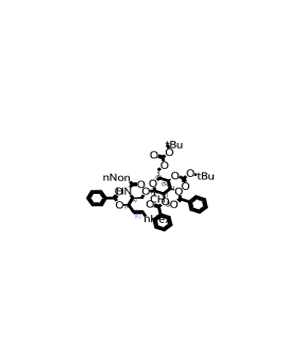 CCCCCC/C=C/[C@@H](OC(=O)c1ccccc1)[C@H](CO[C@@]1(C)O[C@H](COC(=O)OC(C)(C)C)[C@H](OC(=O)OC(C)(C)C)[C@H](OC(=O)c2ccccc2)[C@H]1OC(=O)c1ccccc1)NC(=O)CCCCCCCCC